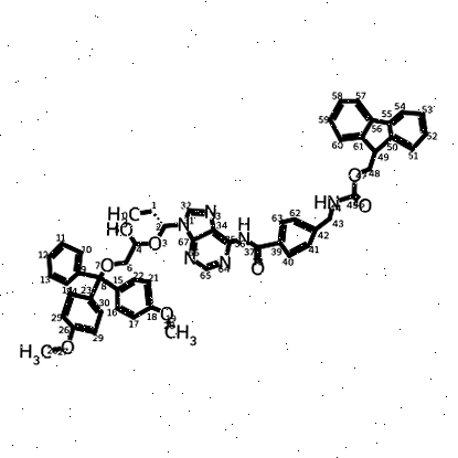 CC[C@@H](OC(O)COC(c1ccccc1)(c1ccc(OC)cc1)c1ccc(OC)cc1)n1cnc2c(NC(=O)c3ccc(CNC(=O)OCC4c5ccccc5-c5ccccc54)cc3)ncnc21